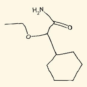 CCOC(C(N)=O)C1CCCCC1